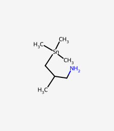 CC(CN)[CH2][Sn]([CH3])([CH3])[CH3]